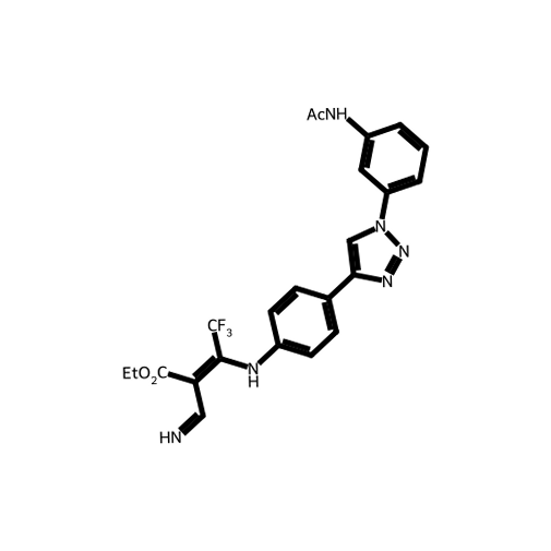 CCOC(=O)/C(C=N)=C(/Nc1ccc(-c2cn(-c3cccc(NC(C)=O)c3)nn2)cc1)C(F)(F)F